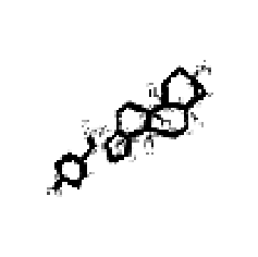 C[C@]12CC[C@@H]3[C@H]4CC[C@]5(O)CC5[C@H]4CC[C@H]3[C@@H]1CC[C@@H]2C(=O)c1ccc(Cl)cc1